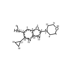 CNc1cc2oc(N3CCOCC3)nc2nc1C1CC1